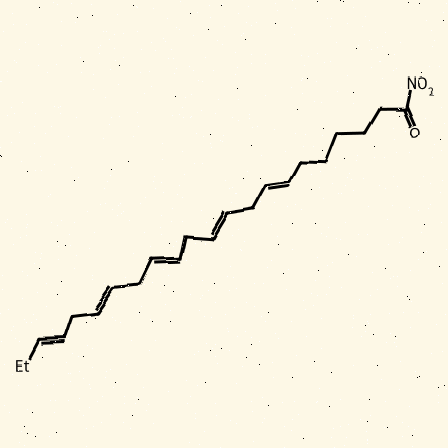 CCC=CCC=CCC=CCC=CCC=CCCCCCC(=O)[N+](=O)[O-]